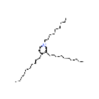 CCCCCCCCCCc1cc[n+](CCCCCCCCC)cc1CCCCCCCCCC